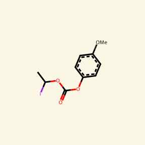 COc1ccc(OC(=O)OC(C)I)cc1